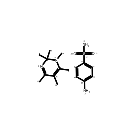 CC1=NC(C)(C)N(C)C(C)=C1C.Nc1ccc(S(N)(=O)=O)cc1